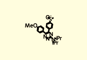 COc1ccc(-c2nnc(N(C(C)C)C(C)C)nc2-c2ccc([S+](C)[O-])cc2)cc1